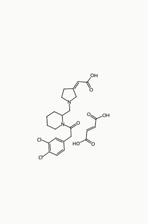 O=C(O)/C=C/C(=O)O.O=C(O)/C=C1/CCN(CC2CCCCN2C(=O)Cc2ccc(Cl)c(Cl)c2)C1